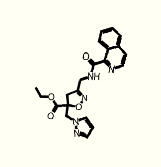 CCOC(=O)C1(Cn2cccn2)CC(CNC(=O)c2nccc3ccccc23)=NO1